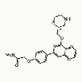 CNC(=O)COc1ccc(-c2cc3nccnc3c(OC[C@@H]3CNCCO3)n2)cc1